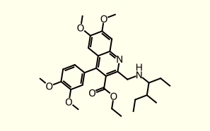 CCOC(=O)c1c(CNC(CC)C(C)CC)nc2cc(OC)c(OC)cc2c1-c1ccc(OC)c(OC)c1